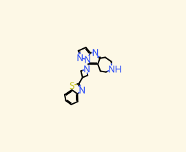 c1ccc2sc(C3CN(c4c5c(nc6ccnn46)CCNCC5)C3)nc2c1